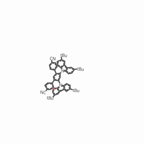 CC(C)(C)c1ccc2c(c1)c1cc(C(C)(C)C)ccc1n2-c1cc(-n2c3ccc(C(C)(C)C)cc3c3cc(C(C)(C)C)ccc32)c(-c2ccc(C#N)cc2)cc1-c1ccc(C#N)cc1